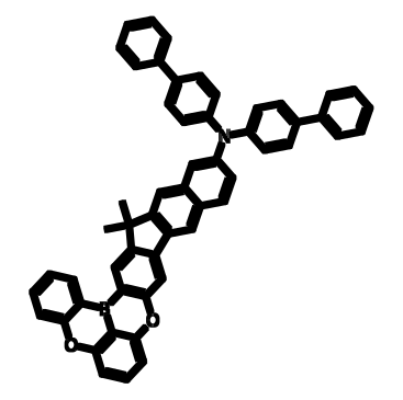 CC1(C)c2cc3c(cc2-c2cc4ccc(N(c5ccc(-c6ccccc6)cc5)c5ccc(-c6ccccc6)cc5)cc4cc21)Oc1cccc2c1B3c1ccccc1O2